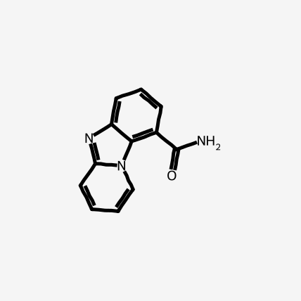 NC(=O)c1cccc2nc3ccccn3c12